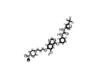 COc1cc2c(Oc3cccc(NC(=O)Nc4cc(C(C)(C)C)on4)c3)ncnc2cc1OCCCN1CCN([SH](=O)=O)CC1